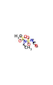 CCN(S(C)(=O)=O)S(=O)(=O)N=C=O